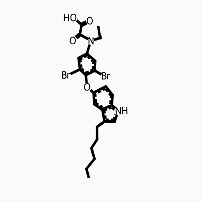 CCCCCCc1c[nH]c2ccc(Oc3c(Br)cc(N(CC)C(=O)C(=O)O)cc3Br)cc12